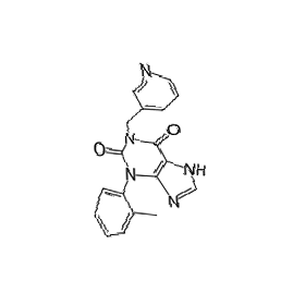 Cc1ccccc1-n1c(=O)n(Cc2cccnc2)c(=O)c2[nH]cnc21